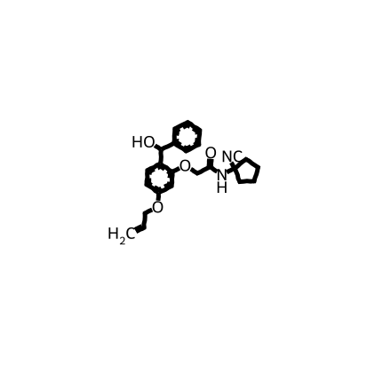 C=CCOc1ccc(C(O)c2ccccc2)c(OCC(=O)NC2(C#N)CCCC2)c1